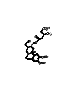 COc1cc2c(cc1OC)[C@H]1C[C@@H](COC(=O)CC(C)CC(=O)O)[C@H](CC(C)C)CN1CC2